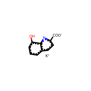 O=C([O-])c1ccc2cccc(O)c2n1.[K+]